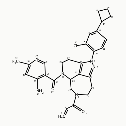 C=CC(=O)N1CCc2nn(-c3ccc(C4CCC4)cc3Cl)c3c2C(C1)N(C(=O)c1cnc(C(F)(F)F)cc1N)CC3